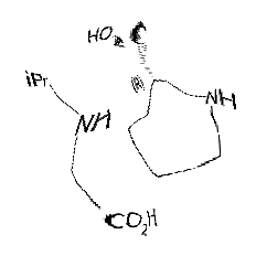 CC(C)NCC(=O)O.O=C(O)[C@H]1CCCN1